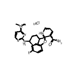 CN(C)c1ccnc(NC2CCC(C3(Oc4ccc(F)cc4)NC=CC=C3C(N)=O)CC2)n1.Cl